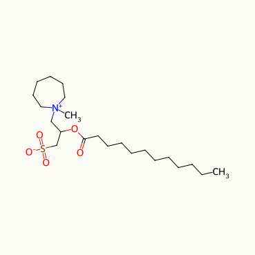 CCCCCCCCCCCC(=O)OC(C[N+]1(C)CCCCCC1)CS(=O)(=O)[O-]